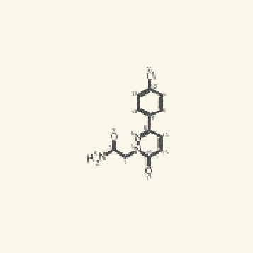 NC(=O)Cn1nc(-c2ccc(Cl)cc2)ccc1=O